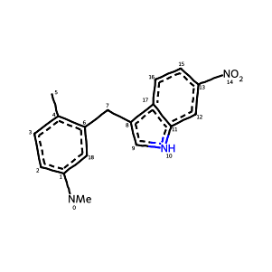 CNc1ccc(C)c(Cc2c[nH]c3cc([N+](=O)[O-])ccc23)c1